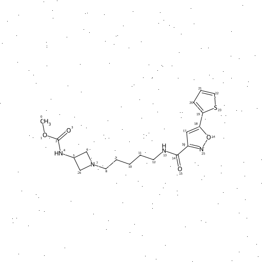 COC(=O)NC1CN(CCCCCNC(=O)c2cc(-c3cccs3)on2)C1